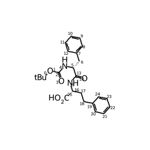 CC(C)(C)OC(=O)N[C@H](Cc1ccccc1)C(=O)N[C@H](CCc1ccccc1)C(=O)O